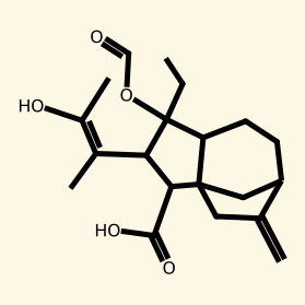 C=C1CC23CC1CCC2C(CC)(OC=O)C(/C(C)=C(\C)O)C3C(=O)O